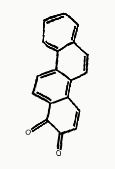 O=C1C=Cc2c(ccc3c2ccc2ccccc23)C1=O